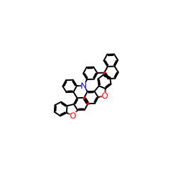 c1cc(-c2cccc3ccccc23)cc(N(c2ccccc2-c2cccc3oc4ccccc4c23)c2cccc3oc4ccccc4c23)c1